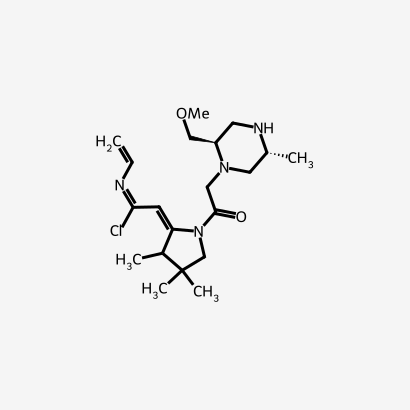 C=C/N=C(Cl)\C=C1/C(C)C(C)(C)CN1C(=O)CN1C[C@@H](C)NC[C@@H]1COC